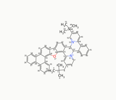 CC(C)(C)Cc1cc[n+]2c(c1)-c1c(ccc3c1oc1c3ccc3c4ccccc4c4ccccc4c31)C1C2c2ccccc2-c2ccc([Si](C)(C)C)c[n+]21